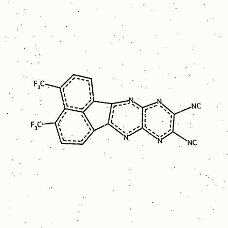 [C-]#[N+]c1nc2nc3c(nc2nc1[N+]#[C-])-c1ccc(C(F)(F)F)c2c(C(F)(F)F)ccc-3c12